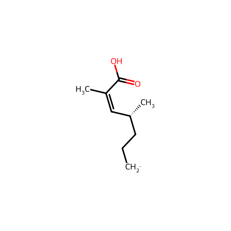 [CH2]CC[C@@H](C)C=C(C)C(=O)O